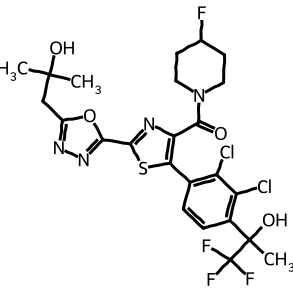 CC(C)(O)Cc1nnc(-c2nc(C(=O)N3CCC(F)CC3)c(-c3ccc(C(C)(O)C(F)(F)F)c(Cl)c3Cl)s2)o1